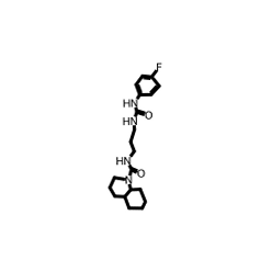 O=C(NCCCNC(=O)N1CCCC2CCCCC21)Nc1ccc(F)cc1